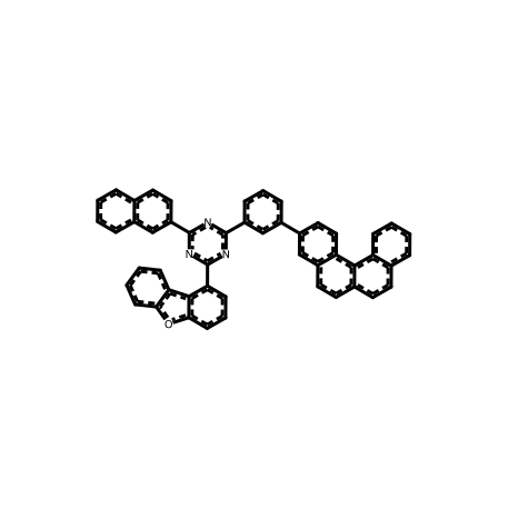 c1cc(-c2ccc3c(ccc4ccc5ccccc5c43)c2)cc(-c2nc(-c3ccc4ccccc4c3)nc(-c3cccc4oc5ccccc5c34)n2)c1